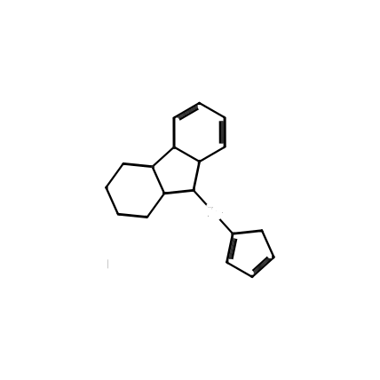 C1=CC[C]([Zr+2][CH]2C3C=CC=CC3C3CCCCC32)=C1.[F-].[F-]